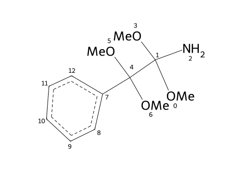 COC(N)(OC)C(OC)(OC)c1ccccc1